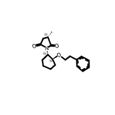 C[C@H]1CC(=O)N([C@H]2CCCC[C@@H]2OCCc2ccccc2)C1=O